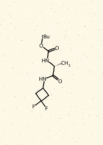 C[C@@H](NC(=O)OC(C)(C)C)C(=O)NC1CC(F)(F)C1